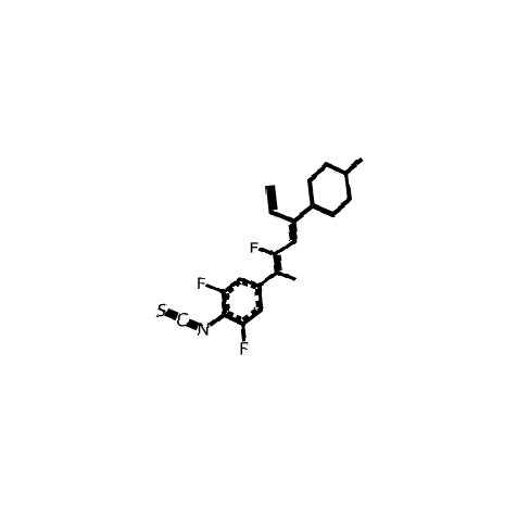 C=C/C(=C\C(F)=C(/C)c1cc(F)c(N=C=S)c(F)c1)C1CCC(C)CC1